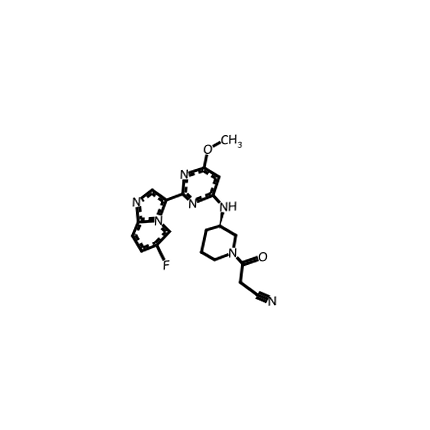 COc1cc(N[C@@H]2CCCN(C(=O)CC#N)C2)nc(-c2cnc3ccc(F)cn23)n1